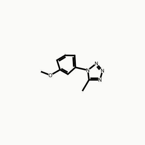 COc1c[c]cc(-n2nnnc2C)c1